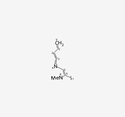 C=CC=C=N/C=C(/I)NC